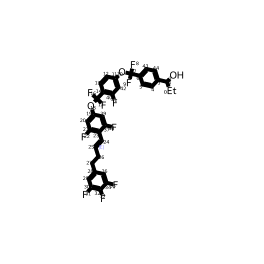 CCC(O)c1ccc(C(F)(F)Oc2ccc(C(F)(F)Oc3cc(F)c(/C=C/CCc4cc(F)c(F)c(F)c4)c(F)c3)c(F)c2)cc1